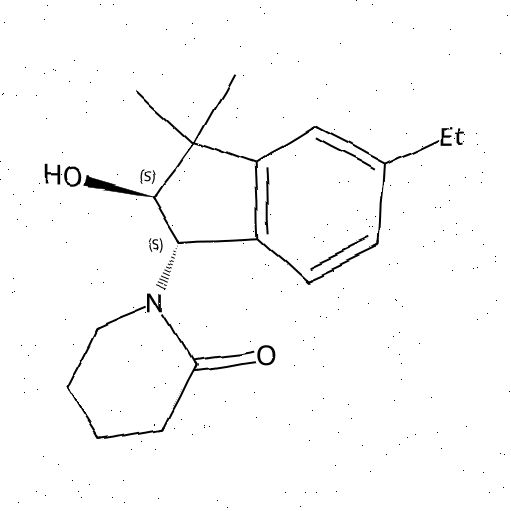 CCc1ccc2c(c1)C(C)(C)[C@H](O)[C@H]2N1CCCCC1=O